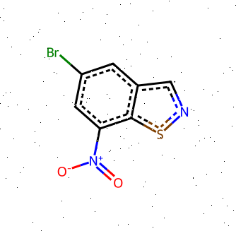 O=[N+]([O-])c1cc(Br)cc2[c]nsc12